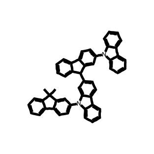 CC1(C)c2ccccc2-c2ccc(-n3c4ccccc4c4ccc(C5c6ccccc6-c6ccc(-n7c8ccccc8c8ccccc87)cc65)cc43)cc21